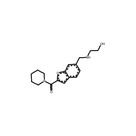 O=C(c1cc2ccc(CNCCO)cc2o1)N1CCCCC1